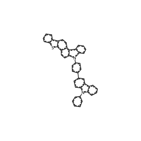 c1ccc(-n2c3ccccc3c3cc(-c4ccc(-n5c6ccccc6c6c7ccc8c9ccccc9sc8c7ccc65)cc4)ccc32)cc1